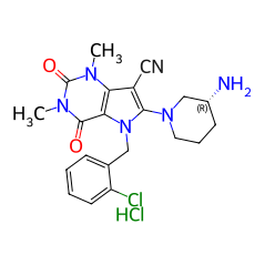 Cl.Cn1c(=O)c2c(c(C#N)c(N3CCC[C@@H](N)C3)n2Cc2ccccc2Cl)n(C)c1=O